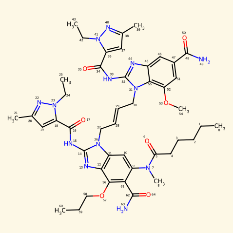 CCCCCC(=O)N(C)c1cc2c(nc(NC(=O)c3cc(C)nn3CC)n2CC=CCn2c(NC(=O)c3cc(C)nn3CC)nc3cc(C(N)=O)cc(OC)c32)c(OCCC)c1C(N)=O